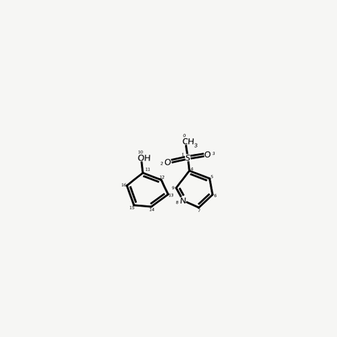 CS(=O)(=O)c1cccnc1.Oc1ccccc1